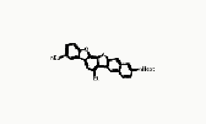 CCCCCCCc1ccc2cc3c(cc2c1)oc1c2oc4ccc(CCCC)cc4c2cc(CC)c31